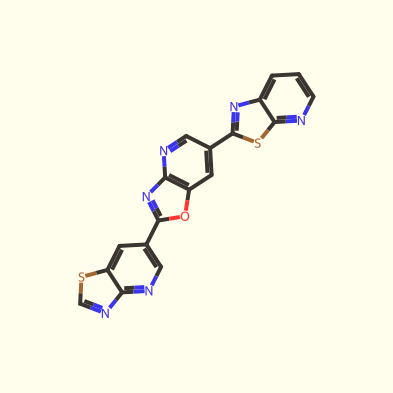 c1cnc2sc(-c3cnc4nc(-c5cnc6ncsc6c5)oc4c3)nc2c1